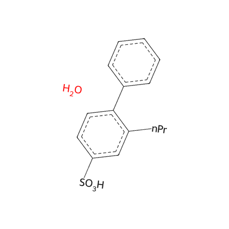 CCCc1cc(S(=O)(=O)O)ccc1-c1ccccc1.O